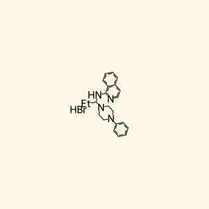 Br.CCC(Nc1nccc2ccccc12)N1CCN(c2ccccc2)CC1